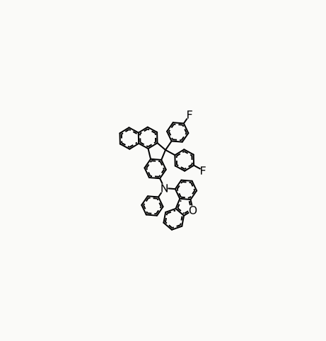 Fc1ccc(C2(c3ccc(F)cc3)c3cc(N(c4ccccc4)c4cccc5oc6ccccc6c45)ccc3-c3c2ccc2ccccc32)cc1